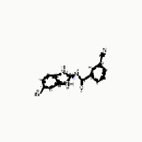 N#Cc1cccc(C(=O)/N=c2/[nH]c3ccc(Br)cc3[nH]2)c1